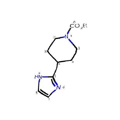 CCOC(=O)N1CCC(c2ncc[nH]2)CC1